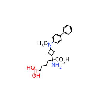 CN(c1ccc(-c2ccccc2)cc1)C1CC(C(N)(CCCCB(O)O)C(=O)O)C1